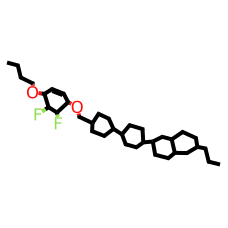 CCCCOC1C=CC(OCC2CCC(C3CCC(C4CCC5CC(CCC)CCC5C4)CC3)CC2)C(F)C1F